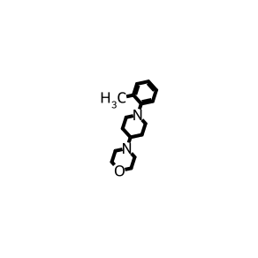 Cc1ccccc1N1CCC(N2CCOCC2)CC1